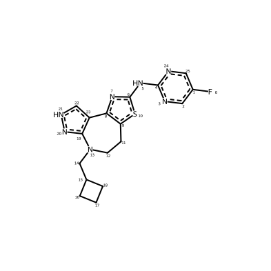 Fc1cnc(Nc2nc3c(s2)CCN(CC2CCC2)c2n[nH]cc2-3)nc1